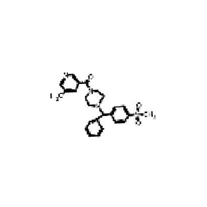 Cc1cncc(C(=O)N2CCN(C(c3ccccc3)c3ccc(S(C)(=O)=O)cc3)CC2)c1